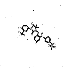 CC1(C)C(=O)N(c2ccc(F)c(C(F)(F)F)c2)C(=O)N1Cc1ccc(F)cc1NC1C=CC(NS(C)(=O)=O)=CC1